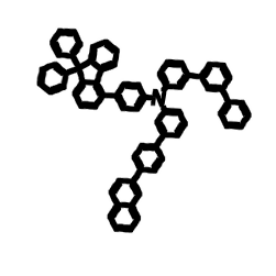 c1ccc(-c2cccc(-c3cccc(N(c4ccc(-c5cccc6c5-c5ccccc5C6(c5ccccc5)c5ccccc5)cc4)c4cccc(-c5ccc(-c6ccc7ccccc7c6)cc5)c4)c3)c2)cc1